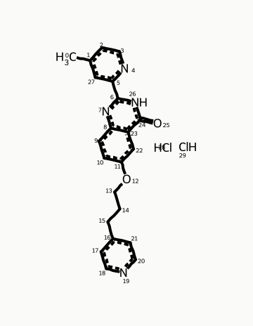 Cc1ccnc(-c2nc3ccc(OCCCc4ccncc4)cc3c(=O)[nH]2)c1.Cl.Cl